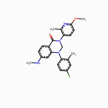 CNc1ccc2c(c1)N(c1ccc(F)cc1C)CN(c1ccc(OC)nc1C)C2=O